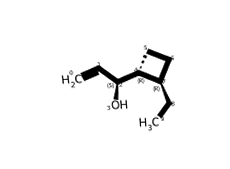 C=C[C@H](O)[C@@H]1CC[C@H]1CC